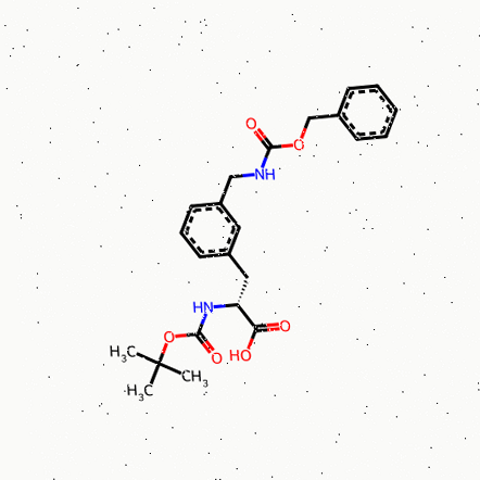 CC(C)(C)OC(=O)N[C@H](Cc1cccc(CNC(=O)OCc2ccccc2)c1)C(=O)O